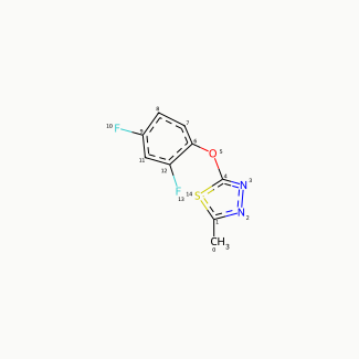 Cc1nnc(Oc2ccc(F)cc2F)s1